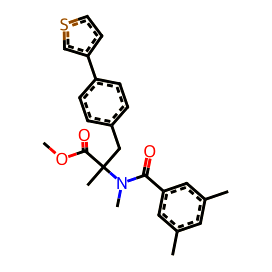 COC(=O)C(C)(Cc1ccc(-c2ccsc2)cc1)N(C)C(=O)c1cc(C)cc(C)c1